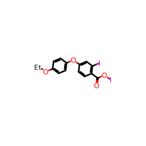 CCOc1ccc(Oc2ccc(C(=O)OI)c(I)c2)cc1